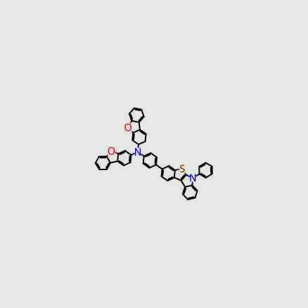 C1=c2oc3ccccc3c2=CCC1N(c1ccc(-c2ccc3c(c2)sc2c3c3ccccc3n2-c2ccccc2)cc1)c1ccc2c(c1)oc1ccccc12